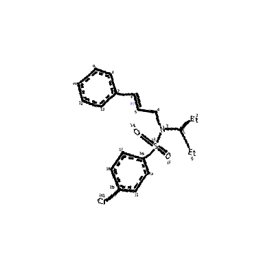 CCC(CC)N(C/C=C/c1ccccc1)S(=O)(=O)c1ccc(Cl)cc1